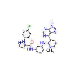 Cc1ccc(NC(=O)c2ccnn2-c2ccc(F)cc2)cc1Nc1ncccc1-c1ncnc2[nH]cnc12